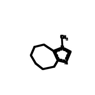 Cn1cnc2c1CCCCCC2